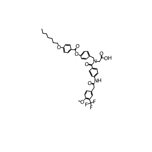 CCCCCCCOc1ccc(C(=O)Oc2ccc(CN(CC(=O)O)C(=O)c3ccc(NC(=O)Cc4ccc(OC)c(C(F)(F)F)c4)cc3)cc2)cc1